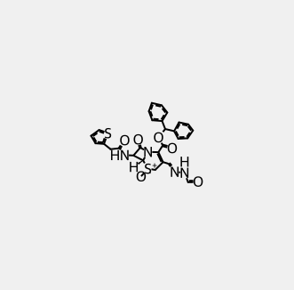 O=CN/N=C/C1=C(C(=O)OC(c2ccccc2)c2ccccc2)N2C(=O)C(NC(=O)Cc3cccs3)[C@H]2[S+]([O-])C1